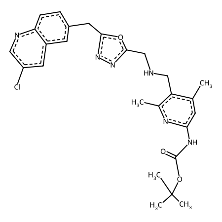 Cc1cc(NC(=O)OC(C)(C)C)nc(C)c1CNCc1nnc(Cc2ccc3ncc(Cl)cc3c2)o1